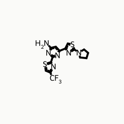 Nc1cc(-c2csc(N3CCCC3)n2)nc(-c2nc(C(F)(F)F)cs2)n1